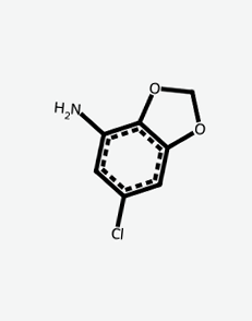 Nc1cc(Cl)cc2c1OCO2